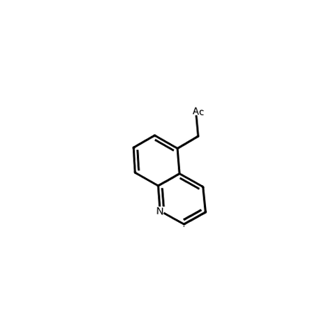 CC(=O)Cc1cccc2n[c]ccc12